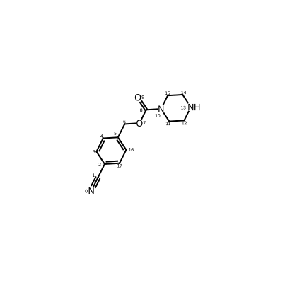 N#Cc1ccc(COC(=O)N2CCNCC2)cc1